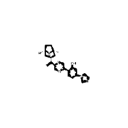 C=C(c1cnc(-c2ccc(-n3ccnc3)cc2O)cn1)[C@@H]1C[C@H]2CC[C@@](C)(C1)N2